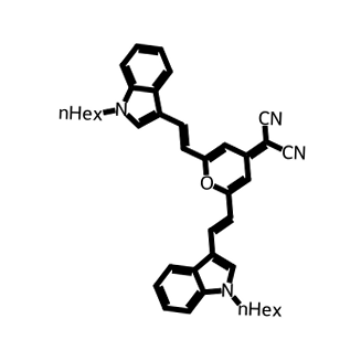 CCCCCCn1cc(/C=C/C2=CC(=C(C#N)C#N)C=C(/C=C/c3cn(CCCCCC)c4ccccc34)O2)c2ccccc21